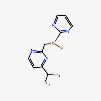 CC(C)c1ccnc(C[SH](S)c2ncccn2)n1